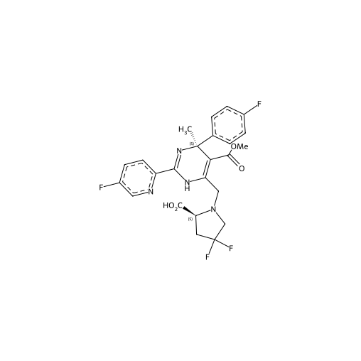 COC(=O)C1=C(CN2CC(F)(F)C[C@H]2C(=O)O)NC(c2ccc(F)cn2)=N[C@@]1(C)c1ccc(F)cc1